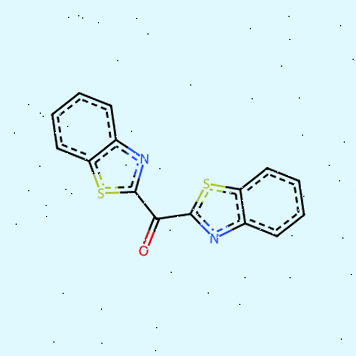 O=C(c1nc2ccccc2s1)c1nc2ccccc2s1